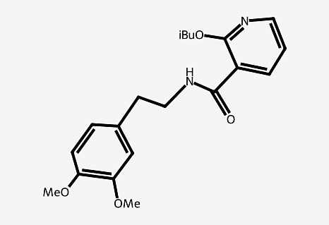 COc1ccc(CCNC(=O)c2cccnc2OCC(C)C)cc1OC